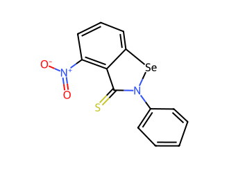 O=[N+]([O-])c1cccc2[se]n(-c3ccccc3)c(=S)c12